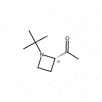 CC(=O)[C@@H]1CCN1C(C)(C)C